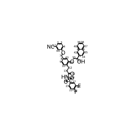 N#Cc1cccc(OCc2ccc(CCC(=O)NS(=O)(=O)c3ccc(F)c(F)c3)c(OCC(O)c3ccc4ccccc4c3)c2)c1